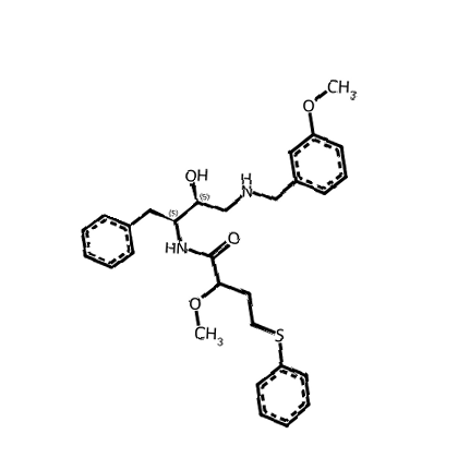 COc1cccc(CNC[C@H](O)[C@H](Cc2ccccc2)NC(=O)C(CCSc2ccccc2)OC)c1